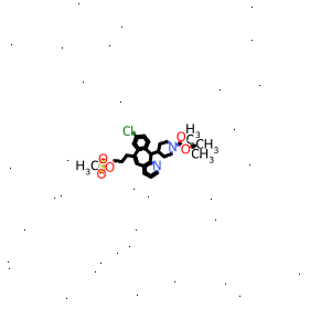 CC(C)(C)OC(=O)N1CCC(C2c3ccc(Cl)cc3C(CCCOS(C)(=O)=O)=Cc3cccnc32)CC1